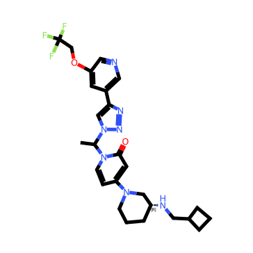 CC(n1cc(-c2cncc(OCC(F)(F)F)c2)nn1)n1ccc(N2CCC[C@@H](NCC3CCC3)C2)cc1=O